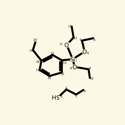 CCCS.CCO[Si](OCC)(OCC)c1cccc(CC)c1